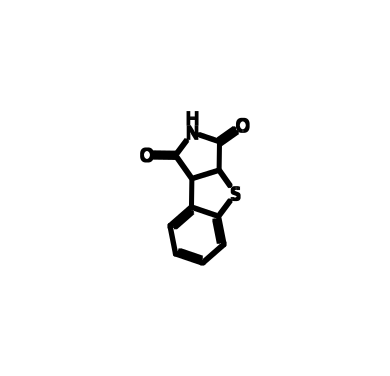 O=C1NC(=O)C2c3ccccc3SC12